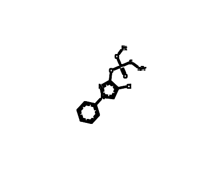 CCCSP(=O)(OCC)Oc1nn(-c2ccccc2)cc1Cl